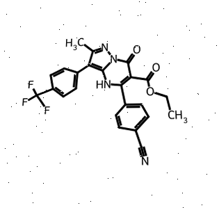 CCOC(=O)c1c(-c2ccc(C#N)cc2)[nH]c2c(-c3ccc(C(F)(F)F)cc3)c(C)nn2c1=O